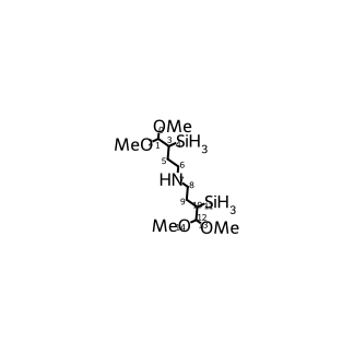 COC(OC)C([SiH3])CCNCCC([SiH3])C(OC)OC